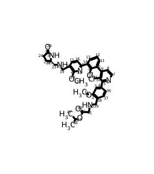 COc1cc(-c2nccc(-c3cccc(-c4ccc(CNC[C@H]5CCC(=O)N5)c(OC)n4)c3Cl)c2Cl)ccc1CNCC(=O)OC(C)C